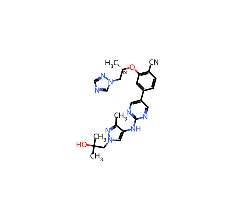 Cc1nn(CC(C)(C)O)cc1Nc1ncc(-c2ccc(C#N)c(O[C@@H](C)Cn3cncn3)c2)cn1